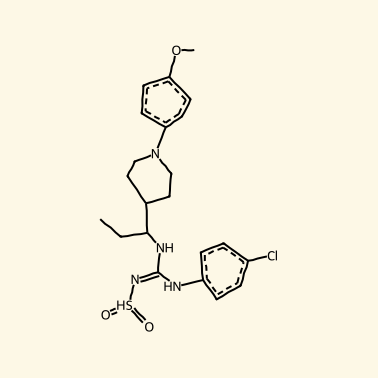 CCC(NC(=N[SH](=O)=O)Nc1ccc(Cl)cc1)C1CCN(c2ccc(OC)cc2)CC1